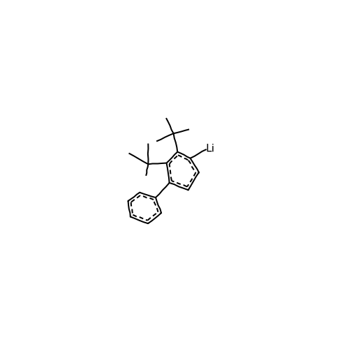 [Li][c]1ccc(-c2ccccc2)c(C(C)(C)C)c1C(C)(C)C